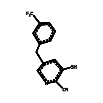 N#Cc1ncc(Cc2cccc(C(F)(F)F)c2)cc1S